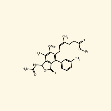 COc1c(C)c2c(c(-c3cccc(C)c3)c1CC=C(C)CCC(=O)OC(C)C)C(=O)OC2NC(N)=O